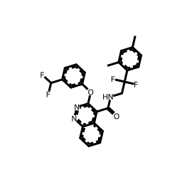 Cc1ccc(C(F)(F)CNC(=O)c2c(Oc3cccc(C(F)F)c3)nnc3ccccc23)c(C)c1